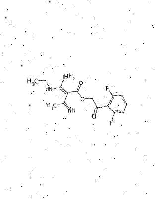 CCN/C(N)=C(\C(C)=N)C(=O)OCC(=O)c1c(F)cccc1F